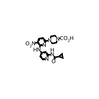 O=C(Nc1cc(Nc2nc(N3CCN(C(=O)O)CC3)ccc2[N+](=O)[O-])ccn1)C1CC1